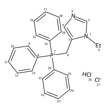 CCn1cncc1C[P+](c1ccccc1)(c1ccccc1)c1ccccc1.Cl.[Cl-]